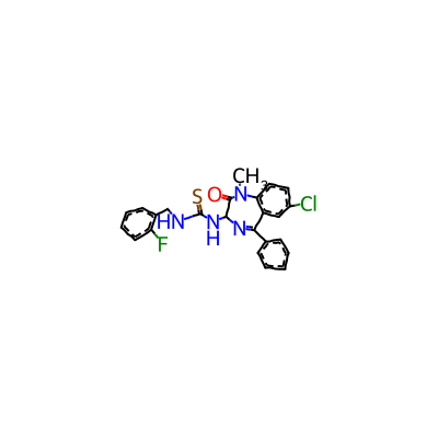 CN1C(=O)C(NC(=S)NCc2ccccc2F)N=C(c2ccccc2)c2cc(Cl)ccc21